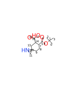 CC(C)(C)OC(=O)C1CCC2(CN2)CC1C(=O)O